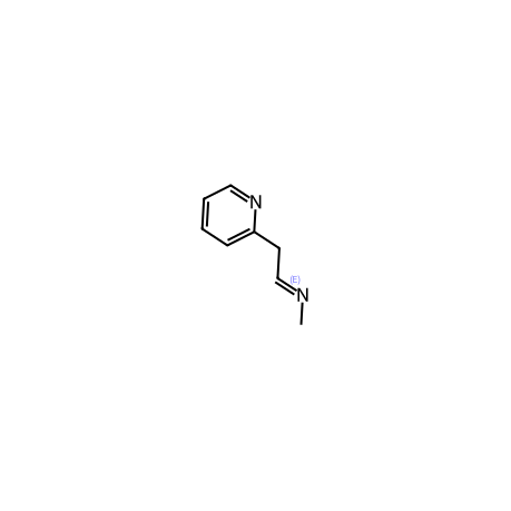 C/N=C/Cc1ccccn1